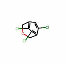 Clc1cc2c(Cl)c(Cl)c1COC2